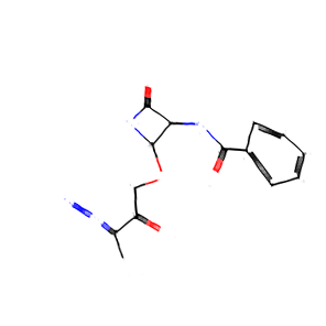 CCOC(=O)C(=[N+]=[N-])C(=O)COC1NC(=O)C1NC(=O)c1ccccc1